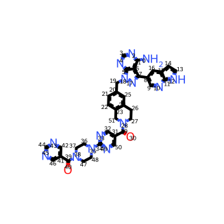 Nc1ncnc2c1c(-c1cnc3[nH]ccc3c1)nn2Cc1ccc2c(c1)CCN(C(=O)c1cnc(N3CCN(C(=O)c4cncnc4)CC3)nc1)C2